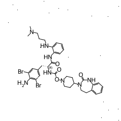 CN(C)CCCNc1ccccc1NC(=O)[C@@H](Cc1cc(Br)c(N)c(Br)c1)NC(=O)ON1CCC(N2CCc3ccccc3NC2=O)CC1